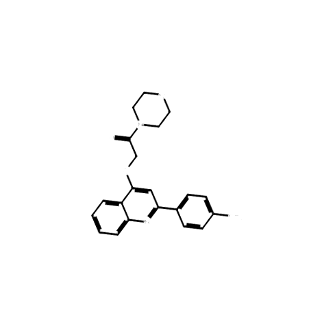 Cc1ccc(-c2cc(OCC(=O)N3CCOCC3)c3ccccc3n2)cc1